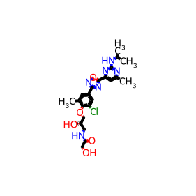 Cc1cc(-c2nc(-c3cc(C)c(OC[C@@H](O)CNC(=O)CO)c(Cl)c3)no2)nc(NC(C)C)n1